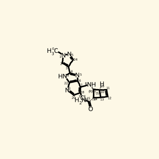 Cn1cc(-c2nc3c(N[C@@H]4[C@H]5C=CC5[C@@H]4C(N)=O)c(Cl)cnc3[nH]2)cn1